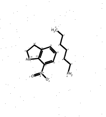 CCCCCCP.O=[N+]([O-])c1cccc2c1NCC2